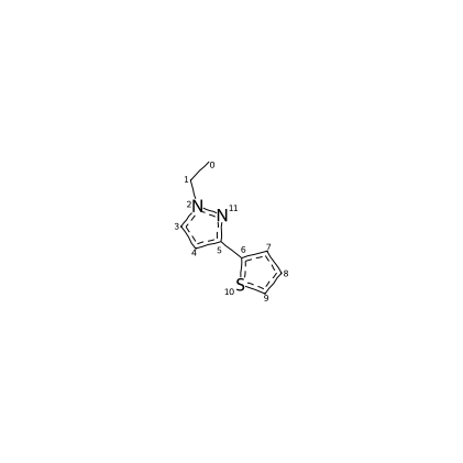 CCn1ccc(-c2cccs2)n1